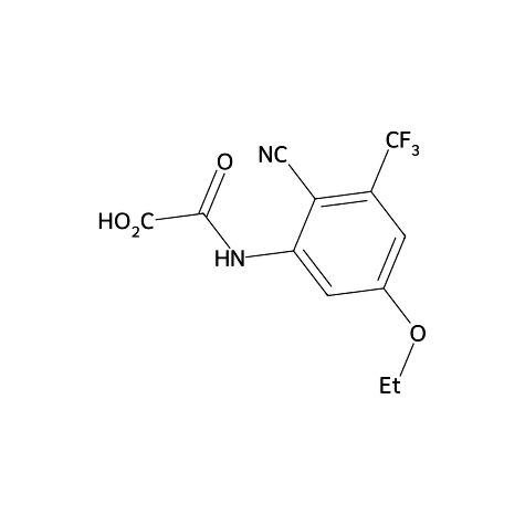 CCOc1cc(NC(=O)C(=O)O)c(C#N)c(C(F)(F)F)c1